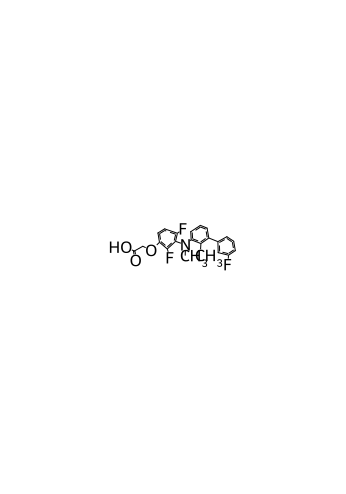 Cc1c(-c2cccc(F)c2)cccc1N(C)c1c(F)ccc(OCC(=O)O)c1F